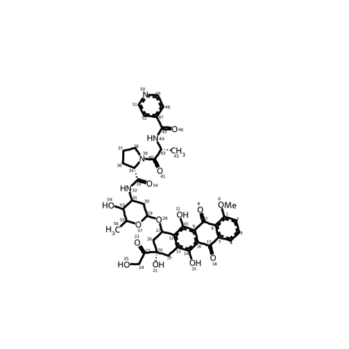 COc1cccc2c1C(=O)c1c(O)c3c(c(O)c1C2=O)C[C@@](O)(C(=O)CO)CC3OC1CC(NC(=O)[C@@H]2CCCN2C(=O)[C@@H](C)NC(=O)c2ccncc2)C(O)C(C)O1